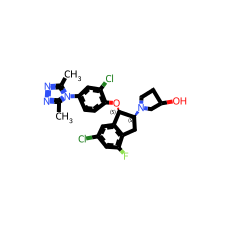 Cc1nnc(C)n1-c1ccc(O[C@H]2c3cc(Cl)cc(F)c3C[C@@H]2N2CCC(O)C2)c(Cl)c1